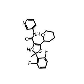 CC1(c2c(F)cccc2F)NC(C(=O)Nc2cccnc2)=C(C2CCCCO2)S1